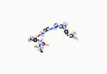 Cc1ncsc1-c1ccc(CNC(=O)[C@@H]2C[C@@H](O)CN2C(=O)[C@@H](NC(=O)C2(F)CC2)C(C)(C)C)c(OCCNC(=O)CN2CC[C@@]3(CCN(CCNc4cc(N5CCC6(CC5)CN(c5cc(F)c(CN7CCC(C)(C)CC7)cc5F)CC(=O)N6)ncn4)C3)C2)c1